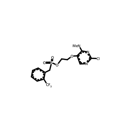 CNc1nc(Cl)ncc1OCCOS(=O)(=O)Cc1ccccc1C(F)(F)F